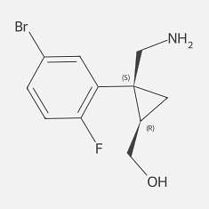 NC[C@@]1(c2cc(Br)ccc2F)C[C@H]1CO